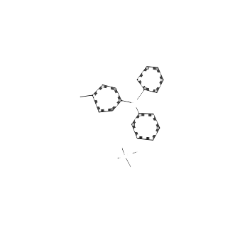 Fc1ccc([S+](c2ccccc2)c2ccccc2)cc1.[O-][Cl+3]([O-])([O-])[O-]